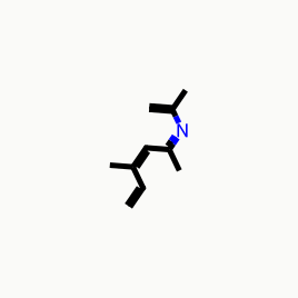 C=C/C(C)=C\C(C)=N/C(=C)C